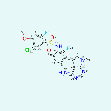 COc1cc(F)c(S(=O)(=O)Nc2cccc(-c3cn(C)c4ncnc(N)c34)c2F)cc1Cl